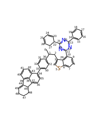 CC(Cc1csc2cccc(-c3nc(-c4ccccc4)nc(C4C=CC=CC4)n3)c12)c1ccc(-c2ccc3c4c(cccc24)C2=CCCCC23)cc1